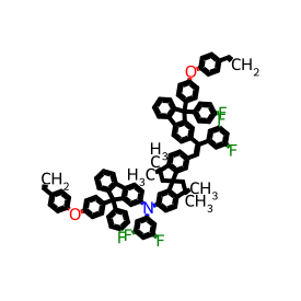 C=Cc1ccc(Oc2ccc(C3(c4ccc(F)cc4)c4ccccc4-c4ccc(/C(=C\c5ccc6c(c5)C5(CC6(C)C)CC(C)(C)c6ccc(N(c7cc(F)cc(F)c7)c7ccc8c(c7)C(c7ccc(F)cc7)(c7ccc(Oc9ccc(C=C)cc9)cc7)c7ccccc7-8)cc65)c5cc(F)cc(F)c5)cc43)cc2)cc1